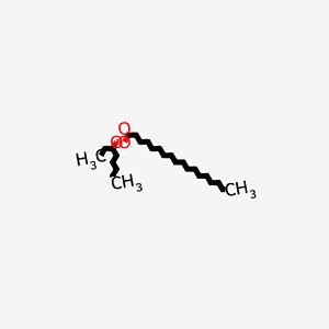 CCCCCCCCCCCCCCCCCC(=O)OOC(CC)CCCCC